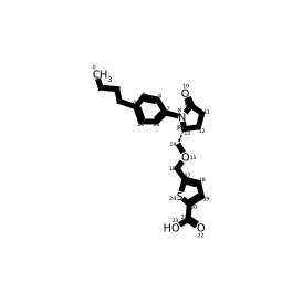 CCCCc1ccc(N2C(=O)CC[C@@H]2COCc2ccc(C(=O)O)s2)cc1